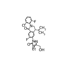 C=C(C)C1CN(c2c(F)cccc2Cl)C(=O)c2cc(F)c(-n3nc(CO)n(CC)c3=O)cc21